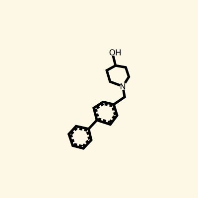 OC1CCN(Cc2ccc(-c3ccccc3)cc2)CC1